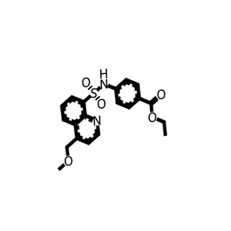 CCOC(=O)c1ccc(NS(=O)(=O)c2cccc3c(COC)ccnc23)cc1